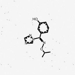 CC(C)ON=C(c1cccc(O)c1)n1cncn1